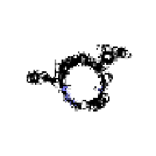 CO[C@@H]1/C(C)=C/[C@@H](C)C(=O)C[C@@H]([C@H](C)C[C@@H]2CC[C@@H](OP(C)(C)=O)[C@H](OC)C2)OC(=O)[C@@H]2CCCCN2C(=O)C(=O)[C@]2(O)O[C@@H](CC[C@H]2C)CC(OCCOC2CCOCC2)/C(C)=C/C=C/C=C/[C@@H](C)C[C@@H](C)C(=O)[C@@H]1OC